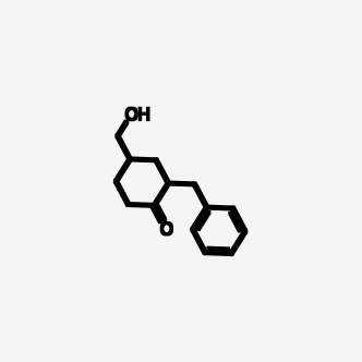 O=C1CCC(CO)CC1Cc1ccccc1